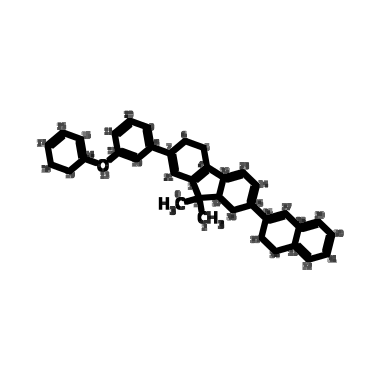 CC1(C)C2=C(CCC(c3cccc(OC4=CC=CCC4)c3)=C2)C2=CC=C(C3=Cc4ccccc4CC3)CC21